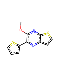 COc1nc2sccc2nc1-c1cccs1